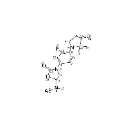 CC(=O)N(C)C1CN(c2ccc(N3CCC(=O)C3(C)C)c(F)c2)C(=O)O1